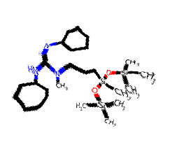 CN(CCC[Si](C)(O[Si](C)(C)C)O[Si](C)(C)C)/C(=N\C1CCCCC1)NC1CCCCC1